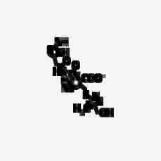 Cn1c(CO)nnc1SCC1=C(C(=O)[O-])N2C(=O)C(NC(=O)Cc3csc(=N)[nH]3)[C@@H]2SC1.[Na+]